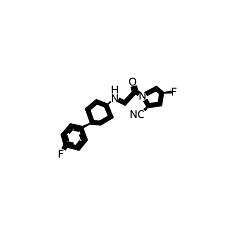 N#C[C@@H]1C[C@H](F)CN1C(=O)CN[C@H]1CC[C@H](c2ccc(F)cc2)CC1